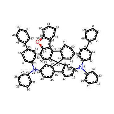 c1ccc(-c2ccc(N(c3ccccc3)c3ccc4c(c3)C3(c5cc(N(c6ccccc6)c6ccc(-c7ccccc7)cc6)ccc5-4)c4ccccc4-c4c3ccc3oc5ccccc5c43)cc2)cc1